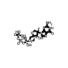 Nc1nc2c(ncn2C2(F)CO[C@](CF)(COP(=O)(O)OP(=O)(O)OP(=O)(O)O)[C@H]2O)c(=O)[nH]1